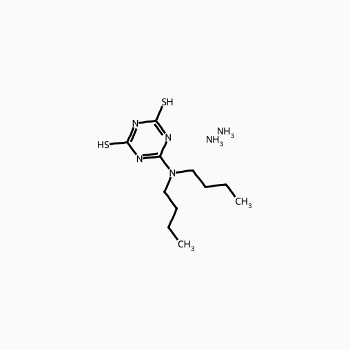 CCCCN(CCCC)c1nc(S)nc(S)n1.N.N